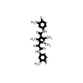 Cc1cc(NC(=O)C(=O)c2c(C)c(C(=O)Nc3ccc(F)c(C)c3)c(C)n2C)ccc1F